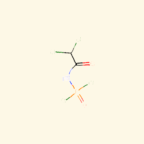 O=C(NP(=O)(Cl)Cl)C(Cl)Cl